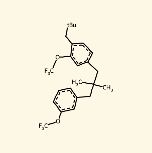 CC(C)(C)Cc1ccc(CC(C)(C)Cc2cccc(OC(F)(F)F)c2)cc1OC(F)(F)F